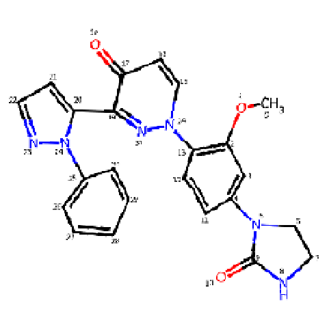 COc1cc(N2CCNC2=O)ccc1-n1ccc(=O)c(-c2ccnn2-c2ccccc2)n1